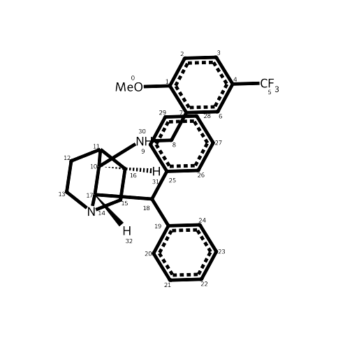 COc1ccc(C(F)(F)F)cc1CN[C@@H]1C2CCN(CC2)[C@H]1C(c1ccccc1)c1ccccc1